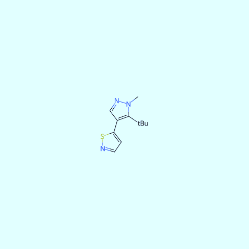 Cn1ncc(-c2ccns2)c1C(C)(C)C